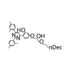 CCCCCCCCCCCCCOCC(O)COc1ccc(-c2cc(-c3ccc(C)cc3C)nc(-c3ccc(C)cc3C)n2)c(O)c1